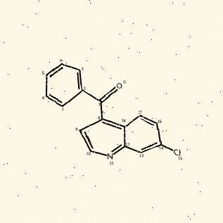 O=C(c1ccccc1)c1ccnc2cc(Cl)ccc12